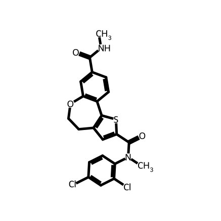 CNC(=O)c1ccc2c(c1)OCCc1cc(C(=O)N(C)c3ccc(Cl)cc3Cl)sc1-2